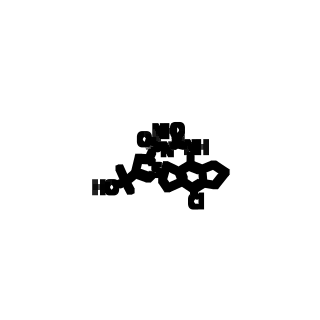 CC(C)(O)c1csc([S@@](N)(=O)=NC(=O)Nc2c3c(c(Cl)c4c2CCC4)CCC3)c1